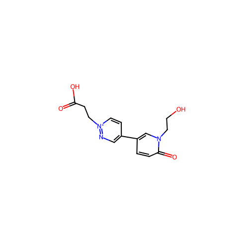 O=C(O)CC[n+]1ccc(-c2ccc(=O)n(CCO)c2)cn1